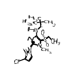 CCS(=O)(=O)c1c(N[CH]C(C)(C)C)nc(-n2ccc(Cl)n2)n1C